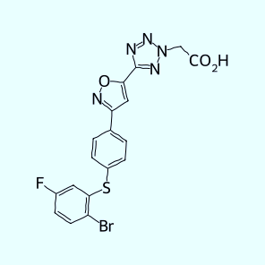 O=C(O)Cn1nnc(-c2cc(-c3ccc(Sc4cc(F)ccc4Br)cc3)no2)n1